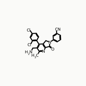 Cc1nc2c(c(-c3ccc(Cl)cc3Cl)c1CN)CN(c1cccc(C#N)c1)C2=O